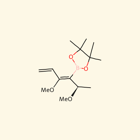 C=C/C(OC)=C(\B1OC(C)(C)C(C)(C)O1)[C@@H](C)OC